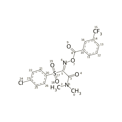 CN(C)C(=O)/C(=N\OC(=O)c1cccc(C(F)(F)F)c1)S(=O)(=O)c1ccc(Cl)cc1